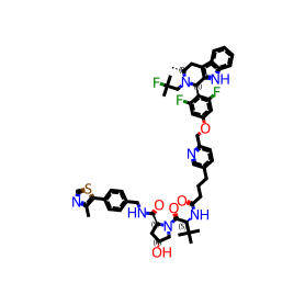 Cc1ncsc1-c1ccc(CNC(=O)[C@@H]2C[C@@H](O)CN2C(=O)[C@@H](NC(=O)CCCc2ccc(COc3cc(F)c([C@@H]4c5[nH]c6ccccc6c5C[C@@H](C)N4CC(C)(C)F)c(F)c3)nc2)C(C)(C)C)cc1